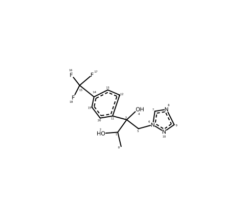 CC(O)C(O)(Cn1cncn1)c1ccc(C(F)(F)F)cc1